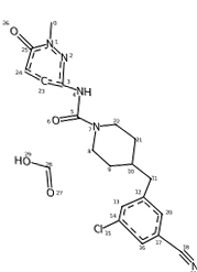 Cn1nc(NC(=O)N2CCC(Cc3cc(Cl)cc(C#N)c3)CC2)ccc1=O.O=CO